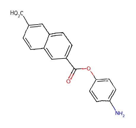 Nc1ccc(OC(=O)c2ccc3cc(C(=O)O)ccc3c2)cc1